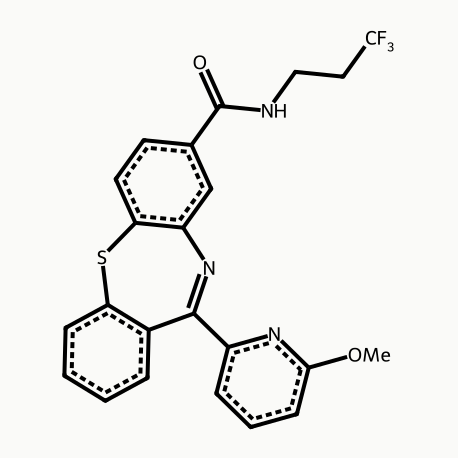 COc1cccc(C2=Nc3cc(C(=O)NCCC(F)(F)F)ccc3Sc3ccccc32)n1